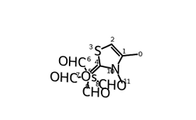 Cc1cs[c](=[Os]([CH]=O)([CH]=O)([CH]=O)[CH]=O)n1C